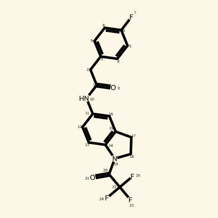 O=C(Cc1ccc(F)cc1)Nc1ccc2c(c1)CCN2C(=O)C(F)(F)F